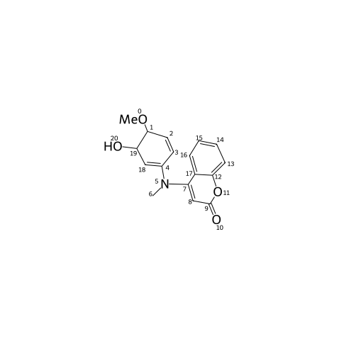 COC1C=CC(N(C)c2cc(=O)oc3ccccc23)=CC1O